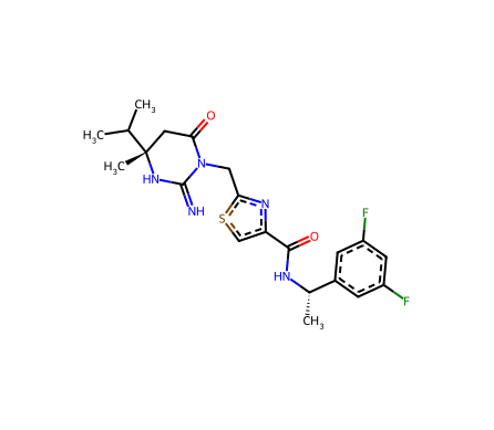 CC(C)[C@]1(C)CC(=O)N(Cc2nc(C(=O)N[C@@H](C)c3cc(F)cc(F)c3)cs2)C(=N)N1